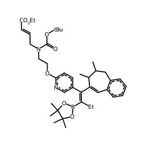 CCOC(=O)/C=C/CN(CCOc1ccc(/C(C2=Cc3ccccc3CC(C)C2C)=C(/CC)B2OC(C)(C)C(C)(C)O2)cn1)C(=O)OC(C)(C)C